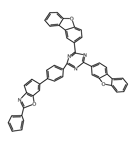 c1ccc(-c2nc3ccc(-c4ccc(-c5nc(-c6ccc7c(c6)oc6ccccc67)nc(-c6ccc7oc8ccccc8c7c6)n5)cc4)cc3o2)cc1